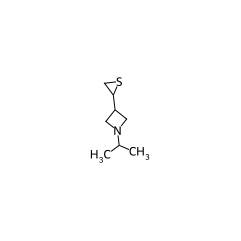 CC(C)N1CC(C2CS2)C1